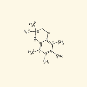 CC(=O)Oc1c(C)c(C)c2c(c1C)CCC(C)(C)O2